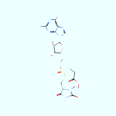 COc1nc(N)nc2c1ncn2[C@@H]1O[C@H](CO[P@@](=O)(N[C@H](C)C(=O)OC(C)C)SCC2C(=O)NC(=O)N2C)[C@@H](O)[C@@]1(C)O